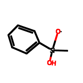 C[Si]([O])(O)c1ccccc1